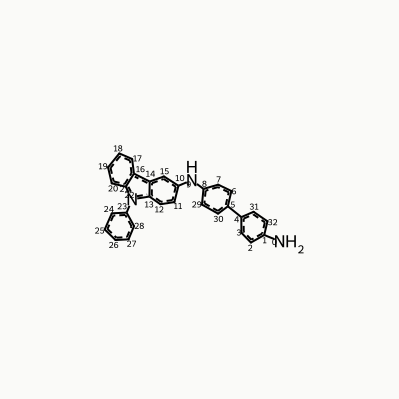 Nc1ccc(-c2ccc(Nc3ccc4c(c3)c3ccccc3n4-c3ccccc3)cc2)cc1